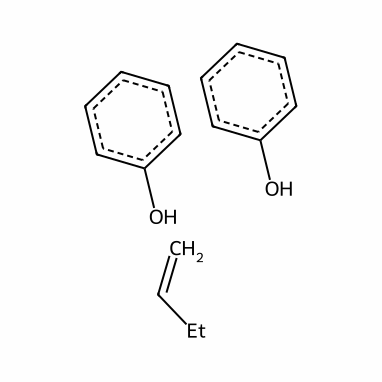 C=CCC.Oc1ccccc1.Oc1ccccc1